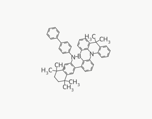 CC1(C)CCC(C)(C)c2cc3c(cc21)-c1cccc2c1B(c1cccc4c1N2c1ccccc1C4(C)C)N3c1ccc(-c2ccccc2)cc1